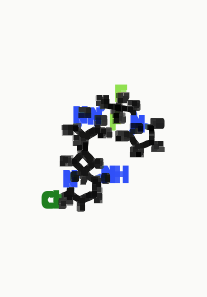 N=C1C=CC(Cl)=NC12C=C(c1cnn(CC(F)(F)CN3CCCC3)c1)C2